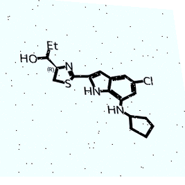 CCC(O)[C@@H]1CSC(c2cc3cc(Cl)cc(NC4CCCC4)c3[nH]2)=N1